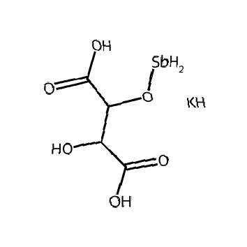 O=C(O)C(O)C([O][SbH2])C(=O)O.[KH]